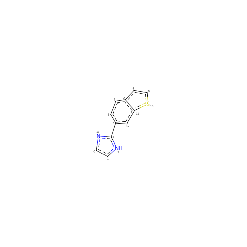 c1c[nH]c(-c2ccc3ccsc3c2)n1